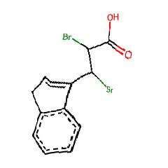 O=C(O)C(Br)C(Br)C1=CCc2ccccc21